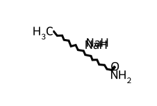 CCCCCCCCCCCCCCCCCC(N)=O.[NaH].[NaH]